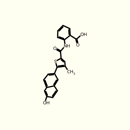 Cc1cc(C(=O)Nc2ccccc2C(=O)O)sc1-c1ccc2cc(O)ccc2c1